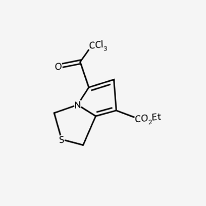 CCOC(=O)c1cc(C(=O)C(Cl)(Cl)Cl)n2c1CSC2